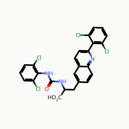 O=C(Nc1c(Cl)cccc1Cl)NC(Cc1ccc2nc(-c3c(Cl)cccc3Cl)ccc2c1)C(=O)O